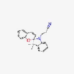 CC1(C)c2ccccc2N(CCC#N)C12C=Cc1ccccc1O2